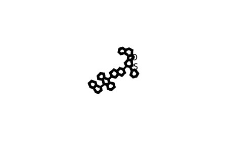 c1ccc2c(-c3c4ccccc4c(-c4ccc5cc(-c6cc7c(oc8ccc9ccccc9c87)c7sc8ccccc8c67)ccc5c4)c4ccccc34)cccc2c1